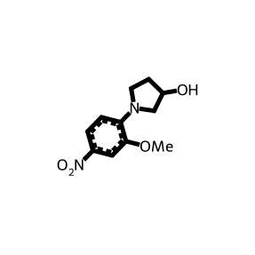 COc1cc([N+](=O)[O-])ccc1N1CCC(O)C1